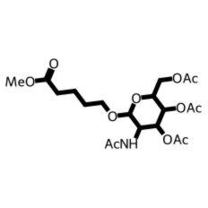 COC(=O)CCCCOC1OC(COC(C)=O)C(OC(C)=O)C(OC(C)=O)C1NC(C)=O